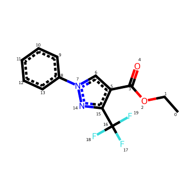 CCOC(=O)c1cn(-c2ccccc2)nc1C(F)(F)F